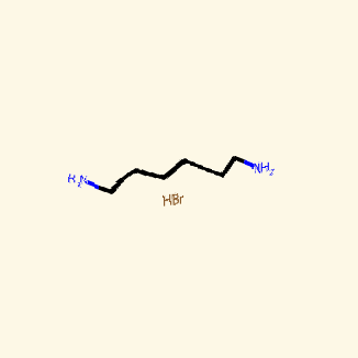 Br.NCCCCCCN